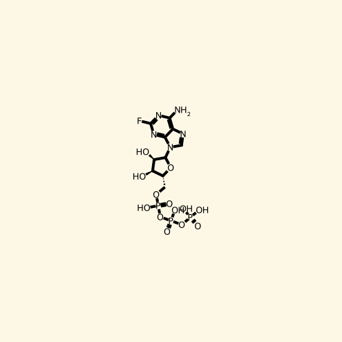 Nc1nc(F)nc2c1ncn2C1O[C@H](COP(=O)(O)OP(=O)(O)OP(=O)(O)O)[C@@H](O)[C@H]1O